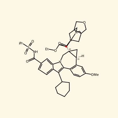 CCOCCN1CC23COCC2(C1)CN(C(=O)[C@]12C[C@H]1c1cc(OC)ccc1-c1c(C4CCCCC4)c4ccc(C(=O)NS(=O)(=O)C(C)C)cc4n1C2)C3